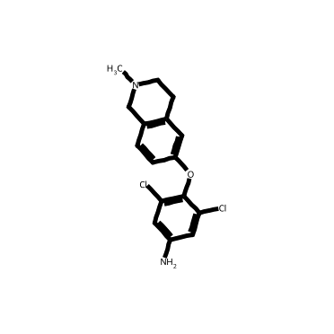 CN1CCc2cc(Oc3c(Cl)cc(N)cc3Cl)ccc2C1